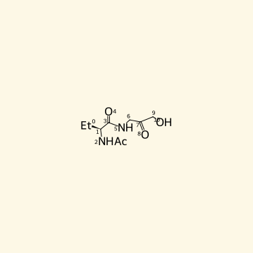 CC[C@H](NC(C)=O)C(=O)NCC(=O)CO